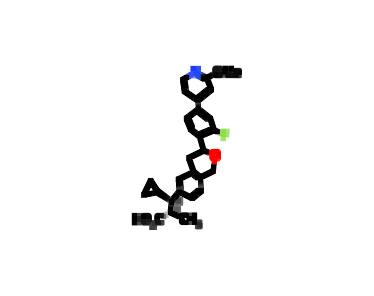 COc1cc(-c2ccc(C3Cc4cc([C@H](C5CC5)[C@H](C)C(=O)O)ccc4CO3)c(F)c2)ccn1